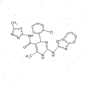 CC1=C(C(=O)Nc2nnc(C)s2)C(c2ccccc2Cl)N=C(Nc2nc3ccccc3o2)N1